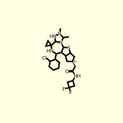 CC1N(C)NC2N1C1SC3C[C@@H](CC(=O)NC4CC(F)(F)C4)CC3C1C(C1CCCCC1Cl)NC21CC1